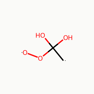 [CH2]C(O)(O)O[O]